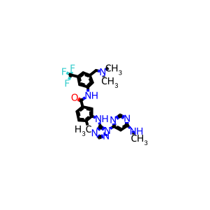 CNc1cc(-n2ncnc2Nc2cc(C(=O)Nc3cc(CN(C)C)cc(C(F)(F)F)c3)ccc2C)ncn1